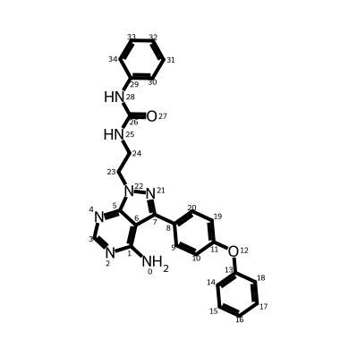 Nc1ncnc2c1c(-c1ccc(Oc3ccccc3)cc1)nn2CCNC(=O)Nc1ccccc1